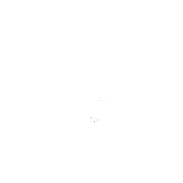 CC(=O)C1([N+](=O)[O-])C=CC=CC1c1ccccc1